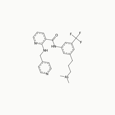 C[As](C)CCCc1cc(NC(=O)c2cccnc2NCc2ccncc2)cc(C(F)(F)F)c1